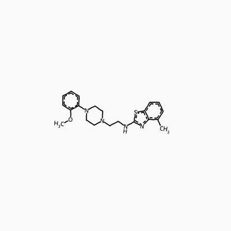 COc1ccccc1N1CCN(CCNc2nc3c(C)cccc3s2)CC1